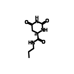 CCCNC(=O)[C@H]1CC(=O)NC(=O)N1